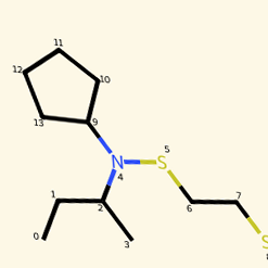 CCC(C)N(SCCS)C1CCCC1